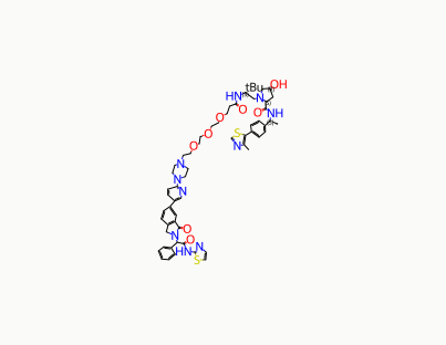 Cc1ncsc1-c1ccc([C@H](C)NC(=O)[C@@H]2C[C@@H](O)CN2C[C@@H](NC(=O)CCOCCOCCOCCN2CCN(c3ccc(-c4ccc5c(c4)C(=O)N(C(C(=O)Nc4nccs4)c4ccccc4)C5)cn3)CC2)C(C)(C)C)cc1